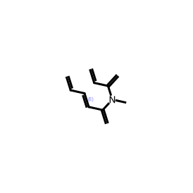 C=C/C=C/C(=C)N(C)C(=C)C=C